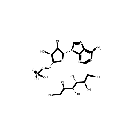 Nc1ncnc2c1ncn2[C@@H]1O[C@H](COP(=O)(O)O)[C@@H](O)[C@H]1O.OC[C@@H](O)[C@@H](O)[C@H](O)[C@H](O)CO